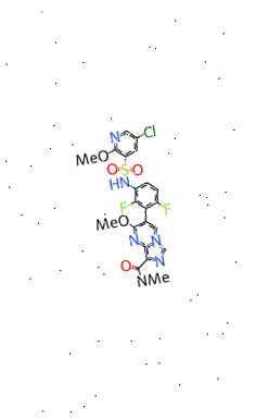 CNC(=O)c1ncn2cc(-c3c(F)ccc(NS(=O)(=O)c4cc(Cl)cnc4OC)c3F)c(OC)nc12